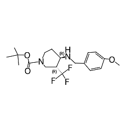 COc1ccc(CN[C@@H]2CCN(C(=O)OC(C)(C)C)C[C@H]2C(F)(F)F)cc1